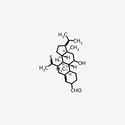 CC(=S)C1CC2=CC(C=O)CC[C@]2(C)[C@H]2C(O)C[C@]3(C)C(=C(C)C)CC[C@H]3[C@H]12